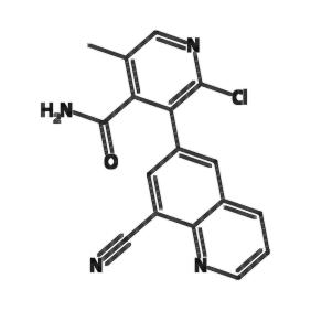 Cc1cnc(Cl)c(-c2cc(C#N)c3ncccc3c2)c1C(N)=O